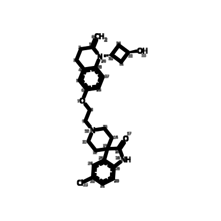 C=C1CCc2cc(OCCN3CCC4(CC3)C(=O)Nc3ccc(Cl)cc34)ccc2N1[C@H]1C[C@H](O)C1